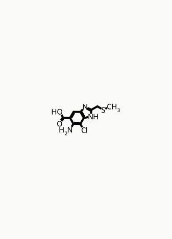 CSCc1nc2cc(C(=O)O)c(N)c(Cl)c2[nH]1